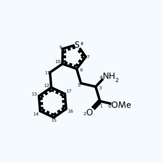 COC(=O)C(N)Cc1cscc1Cc1ccccc1